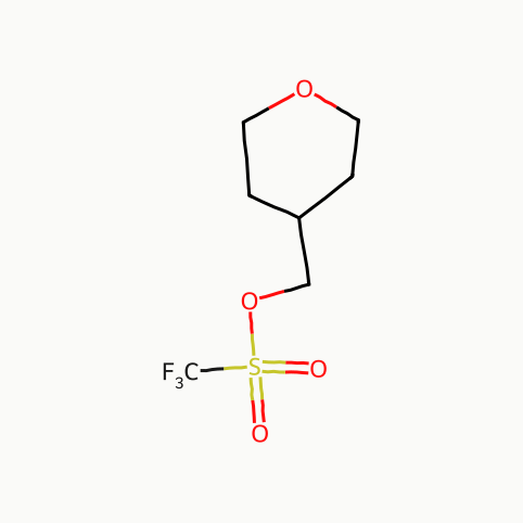 O=S(=O)(OCC1CCOCC1)C(F)(F)F